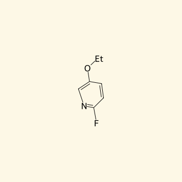 CCOc1ccc(F)nc1